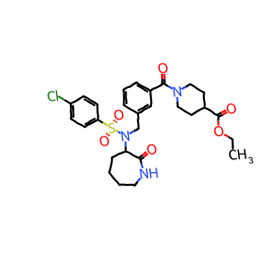 CCOC(=O)C1CCN(C(=O)c2cccc(CN(C3CCCCNC3=O)S(=O)(=O)c3ccc(Cl)cc3)c2)CC1